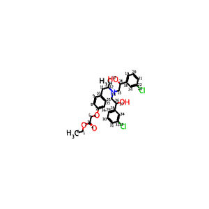 CCOC(=O)COc1ccc(CC(C)N(CC(O)c2cccc(Cl)c2)CC(O)c2cccc(Cl)c2)cc1